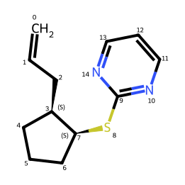 C=CC[C@@H]1CCC[C@@H]1Sc1ncccn1